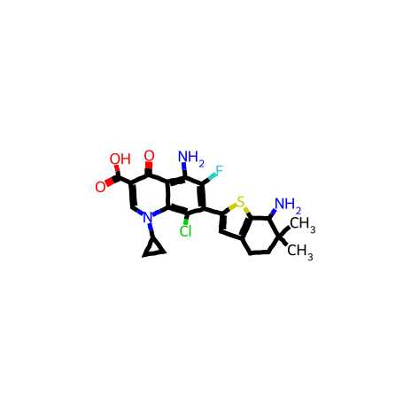 CC1(C)CCc2cc(-c3c(F)c(N)c4c(=O)c(C(=O)O)cn(C5CC5)c4c3Cl)sc2C1N